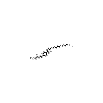 CCCCCCCCCCCCc1cnc(-c2ccc(OCCC(Cl)CC)cc2)nc1